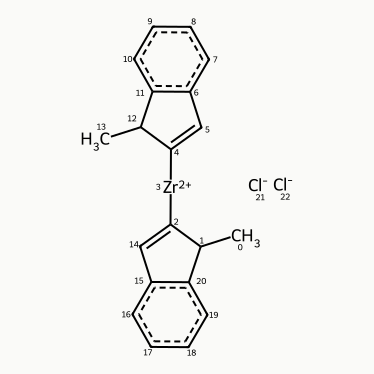 CC1[C]([Zr+2][C]2=Cc3ccccc3C2C)=Cc2ccccc21.[Cl-].[Cl-]